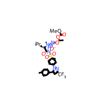 COC(=O)OC(C)ON=[N+]([O-])N(C)[C@@H](CC(C)C)C(=O)NS(=O)(=O)c1ccc(-n2nc(C(F)(F)F)cc2-c2ccc(C)cc2)cc1